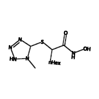 CCCCCCC(SC1N=NNN1C)C(=O)NO